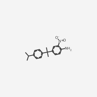 CC(C)c1ccc(C(C)(C)c2ccc(N)c([N+](=O)[O-])c2)cc1